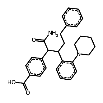 NC(=O)C(c1ccc(C(=O)O)cc1)C(CCc1ccccc1)c1ccccc1N1CCCCC1